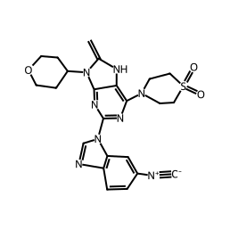 [C-]#[N+]c1ccc2ncn(-c3nc(N4CCS(=O)(=O)CC4)c4c(n3)N(C3CCOCC3)C(=C)N4)c2c1